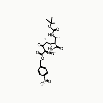 C[C@@H](NC(=O)OC(C)(C)C)[C@H]1C(=O)N[C@@H]1[C@@H](C)C(=O)C(=[N+]=[N-])C(=O)OCc1ccc([N+](=O)[O-])cc1